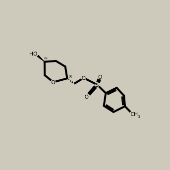 Cc1ccc(S(=O)(=O)OC[C@H]2CC[C@H](O)CO2)cc1